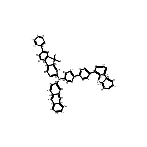 CC1(C)c2cc(-c3ccccc3)ccc2-c2ccc(N(c3ccc(-c4ccc(-c5cccc6c5oc5ccccc56)cc4)cc3)c3ccc4cc5ccccc5cc4c3)cc21